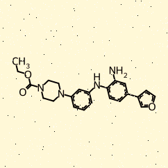 CCOC(=O)N1CCN(c2cccc(Nc3ccc(-c4ccoc4)cc3N)c2)CC1